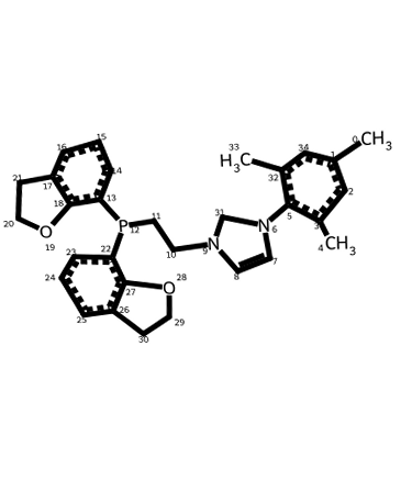 Cc1cc(C)c(N2C=CN(CCP(c3cccc4c3OCC4)c3cccc4c3OCC4)C2)c(C)c1